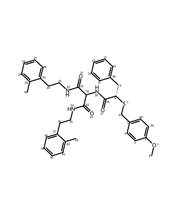 COc1ccc(CS[C@@H](Cc2ccccc2)C(=O)NC(C(=O)NCCc2ccccc2C)C(=O)NCCc2ccccc2C)cc1